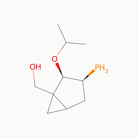 CC(C)O[C@H]1[C@@H](P)CC2CC21CO